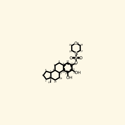 C[C@@]12CCCC1C1CCc3cc(OS(=O)(=O)N4CCOCC4)c(O)c(O)c3C1CC2